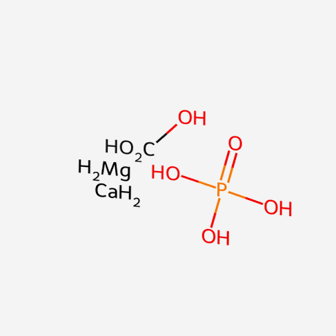 O=C(O)O.O=P(O)(O)O.[CaH2].[MgH2]